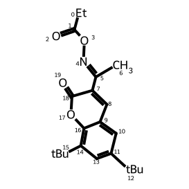 CCC(=O)O/N=C(\C)c1cc2cc(C(C)(C)C)cc(C(C)(C)C)c2oc1=O